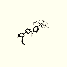 CC(C)(C)c1ccc(Nc2nccc(-c3cccc(C#N)c3)n2)cc1